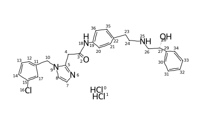 Cl.Cl.O=C(Cc1nccn1Cc1cccc(Cl)c1)Nc1ccc(CCNC[C@H](O)c2ccccc2)cc1